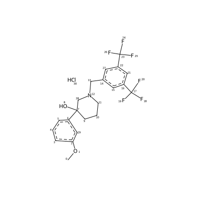 COc1cccc(C2(O)CCCN(Cc3cc(C(F)(F)F)cc(C(F)(F)F)c3)C2)c1.Cl